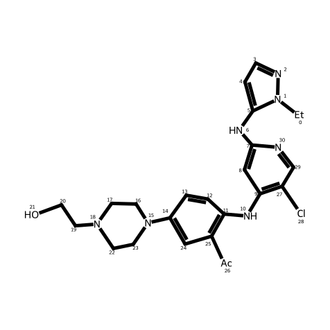 CCn1nccc1Nc1cc(Nc2ccc(N3CCN(CCO)CC3)cc2C(C)=O)c(Cl)cn1